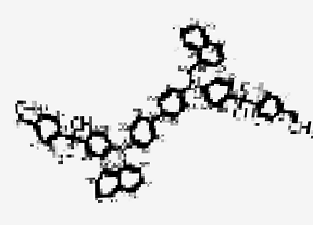 C=Cc1ccc(C(C)(C)c2ccc(N(Cc3cccc4ccccc34)c3ccc(-c4ccc(N(c5ccc(C(C)(C)c6ccc(C=C)cc6)cc5)c5cccc6ccccc56)cc4)cc3)cc2)cc1